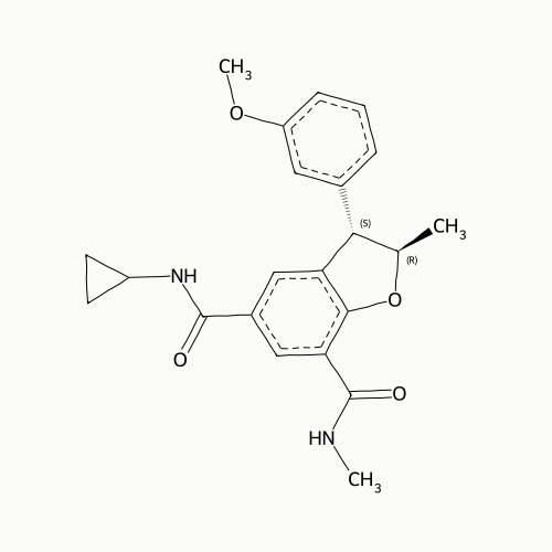 CNC(=O)c1cc(C(=O)NC2CC2)cc2c1O[C@H](C)[C@H]2c1cccc(OC)c1